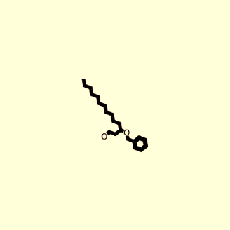 CCCCCCCCCCCC(C[C]=O)OCc1ccccc1